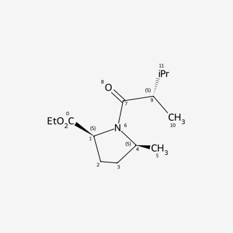 CCOC(=O)[C@@H]1CC[C@H](C)N1C(=O)[C@@H](C)C(C)C